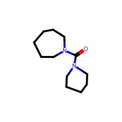 O=C(N1CCCCCC1)N1CCCCC1